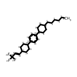 CCCCCCC1CCC(c2ccc(C3CCC(/C=C/C(F)(F)F)CC3)cc2)CC1